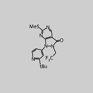 CSc1ncc2c(=O)n(CC(F)(F)F)n(-c3ccnc(C(C)(C)C)c3)c2n1